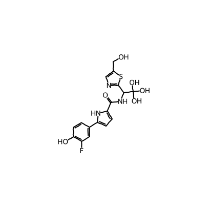 O=C(NC(c1ncc(CO)s1)C(O)(O)O)c1ccc(-c2ccc(O)c(F)c2)[nH]1